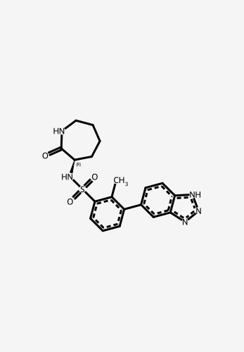 Cc1c(-c2ccc3[nH]nnc3c2)cccc1S(=O)(=O)N[C@@H]1CCCCNC1=O